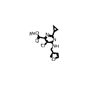 COC(=O)c1nc(C2CC2)nc(NCc2ccoc2)c1Cl